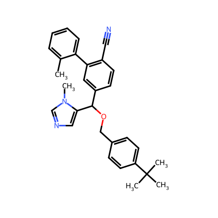 Cc1ccccc1-c1cc(C(OCc2ccc(C(C)(C)C)cc2)c2cncn2C)ccc1C#N